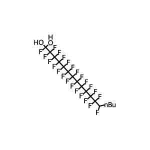 CCCCC(F)C(F)(F)C(F)(F)C(F)(F)C(F)(F)C(F)(F)C(F)(F)C(F)(F)C(F)(F)C(F)(F)C(F)(F)C(F)(F)C(O)(O)F